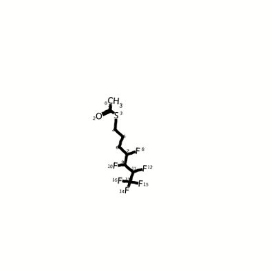 CC(=O)SCCCC(F)C(F)C(F)C(F)(F)F